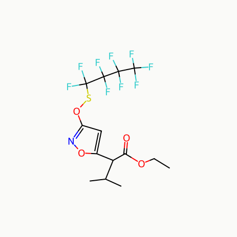 CCOC(=O)C(c1cc(OSC(F)(F)C(F)(F)C(F)(F)C(F)(F)F)no1)C(C)C